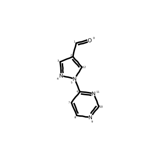 O=Cc1cnn(-c2ccncn2)c1